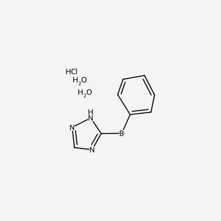 Cl.O.O.[B](c1ccccc1)c1ncn[nH]1